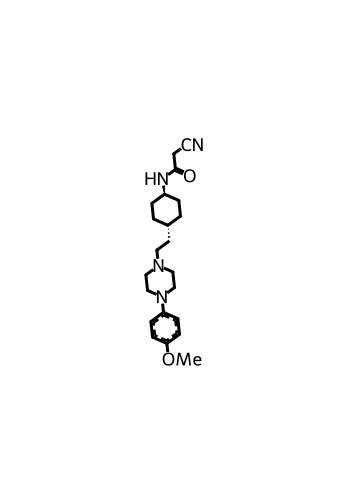 COc1ccc(N2CCN(CC[C@H]3CC[C@H](NC(=O)CC#N)CC3)CC2)cc1